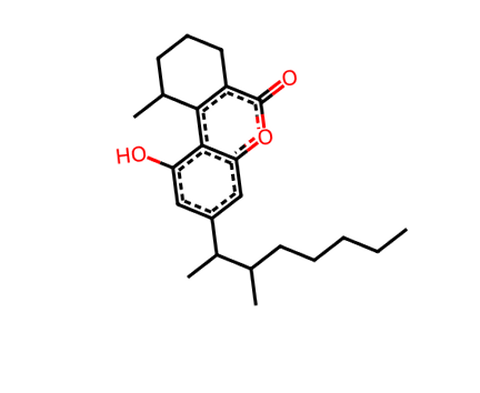 CCCCCC(C)C(C)c1cc(O)c2c3c(c(=O)oc2c1)CCCC3C